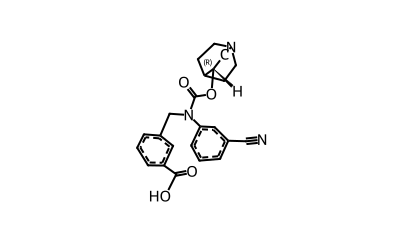 N#Cc1cccc(N(Cc2cccc(C(=O)O)c2)C(=O)O[C@H]2CN3CCC2CC3)c1